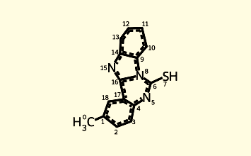 Cc1ccc2nc(S)n3c4ccccc4nc3c2c1